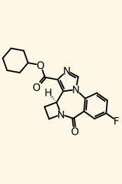 O=C(OC1CCCCC1)c1ncn2c1[C@@H]1CCN1C(=O)c1cc(F)ccc1-2